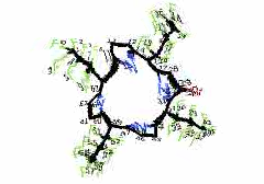 FC(F)(F)C(F)(F)C(F)(F)C1=C2C=CC(=N2)C(C(F)(F)C(F)(F)C(F)(F)F)=C2C=C(Br)C(=N2)C(C(F)(F)C(F)(F)C(F)(F)F)=C2C=CC(=N2)C(C(F)(F)C(F)(F)C(F)(F)F)=C2C=CC1=N2